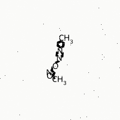 Cc1ccc(N2CCN(CCOCc3cc(C)on3)CC2)cc1